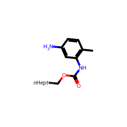 CCCCCCCCOC(=O)Nc1cc(N)ccc1C